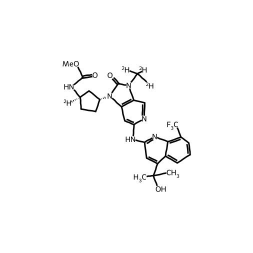 [2H]C([2H])([2H])n1c(=O)n([C@@H]2CC[C@@]([2H])(NC(=O)OC)C2)c2cc(Nc3cc(C(C)(C)O)c4cccc(C(F)(F)F)c4n3)ncc21